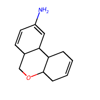 NC1=CC2C(C=C1)COC1CC=CCC12